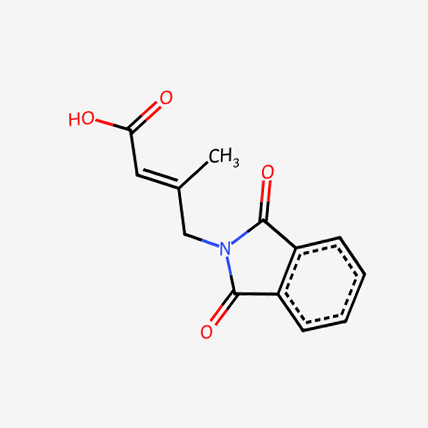 C/C(=C\C(=O)O)CN1C(=O)c2ccccc2C1=O